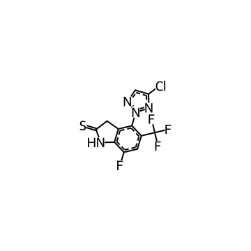 Fc1cc(C(F)(F)F)c(-n2ncc(Cl)n2)c2c1NC(=S)C2